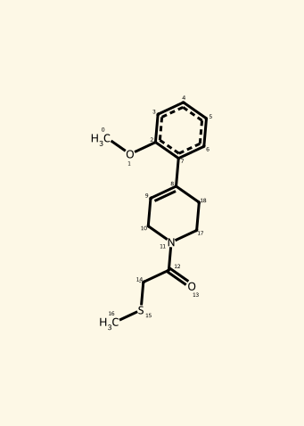 COc1ccccc1C1=CCN(C(=O)[CH]SC)CC1